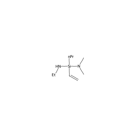 C=C[Si](CCC)(NCC)N(C)C